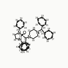 O=P1(C(c2ccccc2)N2CCN(C(c3ccccc3)c3ccccc3)CC2)N(c2ccccc2)CCN1c1ccccc1